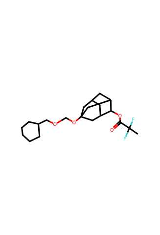 CC(F)(F)C(=O)OC1C2CC3CC1CC(OCOCC1CCCCC1)(C3)C2